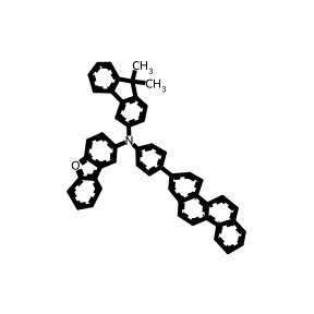 CC1(C)c2ccccc2-c2cc(N(c3ccc(-c4ccc5c(ccc6c7ccccc7ccc56)c4)cc3)c3ccc4oc5ccccc5c4c3)ccc21